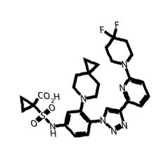 O=C(O)C1(S(=O)(=O)Nc2ccc(-n3cc(-c4cccc(N5CCC(F)(F)CC5)n4)nn3)c(N3CCC4(CC3)CC4)c2)CC1